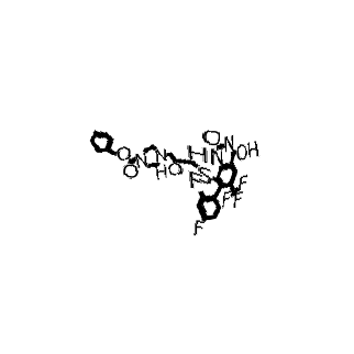 O=C(OCc1ccccc1)N1CCN(CC(O)CSc2c(-c3ccc(F)cc3F)c(C(F)(F)F)cc3c(O)nc(=O)[nH]c23)CC1